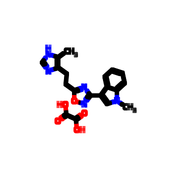 Cc1[nH]cnc1CCc1nc(-c2cn(C)c3ccccc23)no1.O=C(O)C(=O)O